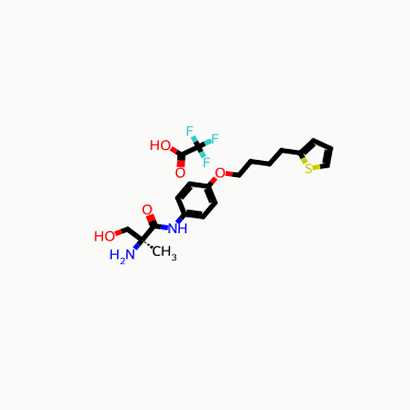 C[C@](N)(CO)C(=O)Nc1ccc(OCCCCc2cccs2)cc1.O=C(O)C(F)(F)F